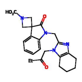 CCC(=O)Cn1c(CN2C(=O)C3(CN(C(=O)O)C3)c3ccccc32)nc2c1CCCC2